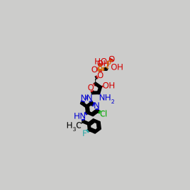 C[C@H](Nc1cc(Cl)nc2c1cnn2[C@@H]1O[C@H](COP(=O)(O)CP(=O)(O)O)[C@@H](O)[C@H]1N)c1ccccc1F